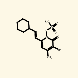 Cc1cc(C=CC2CCCCC2)n(OS(=O)(=O)C(F)(F)F)c(=O)c1Br